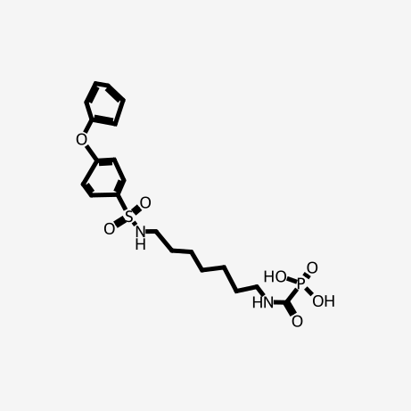 O=C(NCCCCCCCNS(=O)(=O)c1ccc(Oc2ccccc2)cc1)P(=O)(O)O